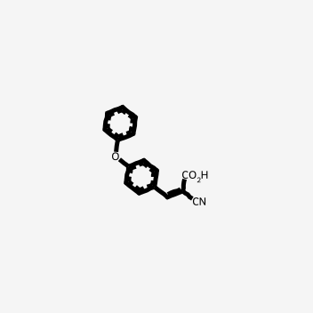 N#C/C(=C/c1ccc(Oc2ccccc2)cc1)C(=O)O